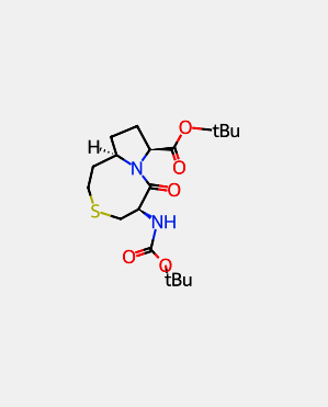 CC(C)(C)OC(=O)N[C@H]1CSCC[C@H]2CC[C@@H](C(=O)OC(C)(C)C)N2C1=O